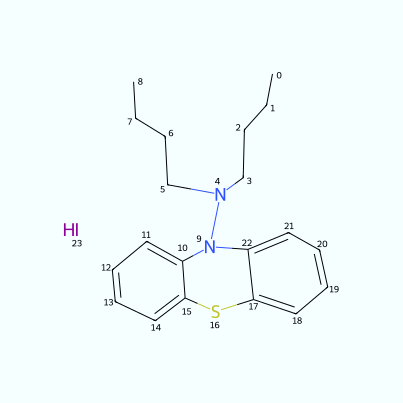 CCCCN(CCCC)N1c2ccccc2Sc2ccccc21.I